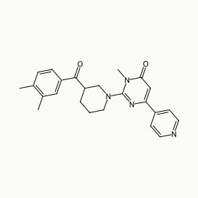 Cc1ccc(C(=O)C2CCCN(c3nc(-c4ccncc4)cc(=O)n3C)C2)cc1C